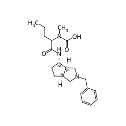 CCCC(C(=O)N[C@H]1CC[C@@H]2CN(Cc3ccccc3)C[C@@H]21)N(C)C(=O)O